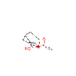 CCC(C)C(=O)OC1C2CC3CC1CC(C2)C3O